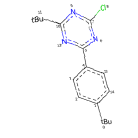 CC(C)(C)c1ccc(-c2nc(Cl)nc(C(C)(C)C)n2)cc1